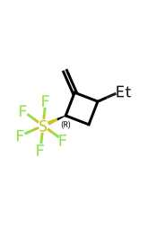 C=C1C(CC)C[C@H]1S(F)(F)(F)(F)F